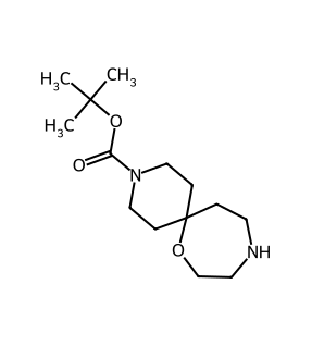 CC(C)(C)OC(=O)N1CCC2(CCNCCO2)CC1